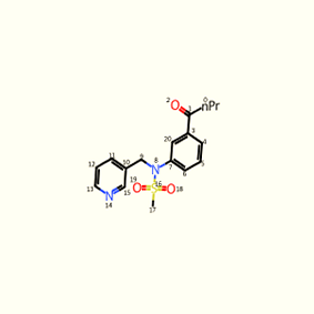 CCCC(=O)c1cccc(N(Cc2cccnc2)S(C)(=O)=O)c1